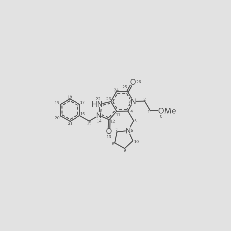 COCCn1c(CN2CCCC2)c2c(=O)n(Cc3ccccc3)[nH]c2cc1=O